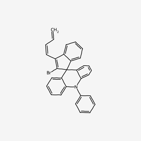 C=C/C=C\C1=C(Br)C2(c3ccccc31)c1ccccc1N(c1ccccc1)c1ccccc12